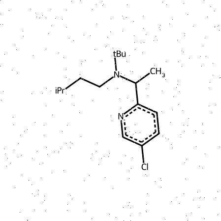 CC(C)CCN(C(C)c1ccc(Cl)cn1)C(C)(C)C